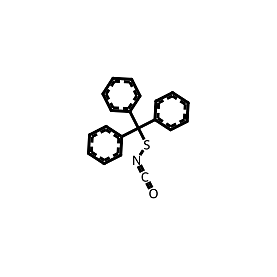 O=C=NSC(c1ccccc1)(c1ccccc1)c1ccccc1